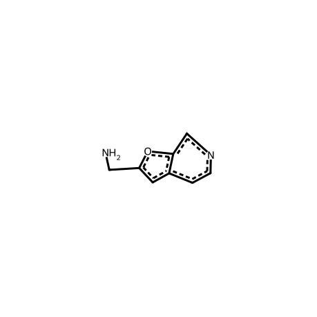 NCc1cc2ccncc2o1